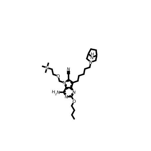 CCCCOc1nc(N)c2c(n1)c(CCCCCN1CC3CCC(C1)N3)c(C#N)n2COCC[Si](C)(C)C